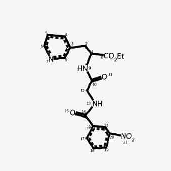 CCOC(=O)C(Cc1cccnc1)NC(=O)CNC(=O)c1cccc([N+](=O)[O-])c1